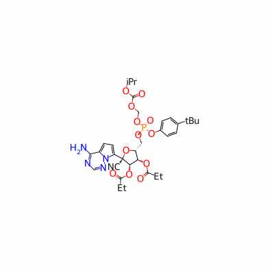 CCC(=O)O[C@H]1[C@@H](OC(=O)CC)[C@](C#N)(c2ccc3c(N)ncnn23)O[C@@H]1CO[P@](=O)(OCOC(=O)OC(C)C)Oc1ccc(C(C)(C)C)cc1